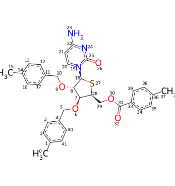 Cc1ccc(CO[C@H]2[C@H](OCc3ccc(C)cc3)[C@@H](n3ccc(N)nc3=O)S[C@H]2COC(=O)c2ccc(C)cc2)cc1